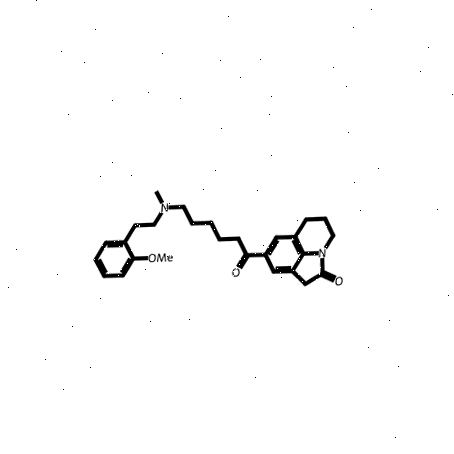 COc1ccccc1CCN(C)CCCCCC(=O)c1cc2c3c(c1)CC(=O)N3CCC2